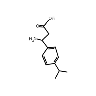 CC(C)c1ccc(C(N)CC(=O)O)cc1